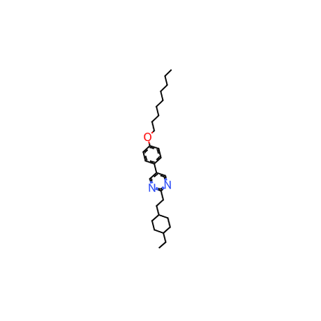 CCCCCCCCCOc1ccc(-c2cnc(CCC3CCC(CC)CC3)nc2)cc1